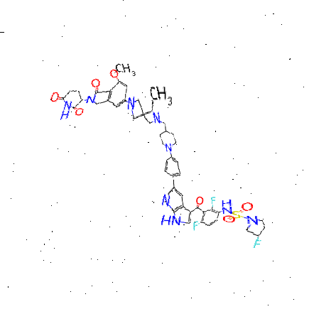 COc1cc(N2CC3(C2)CN(CC2CCN(c4ccc(-c5cnc6[nH]cc(C(=O)c7c(F)ccc(NS(=O)(=O)N8CC[C@@H](F)C8)c7F)c6c5)cc4)CC2)[C@@H]3C)cc2c1C(=O)N(C1CCC(=O)NC1=O)C2